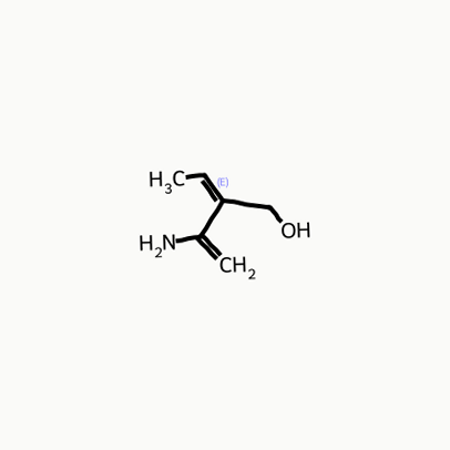 C=C(N)/C(=C\C)CO